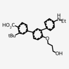 CCNc1ccc(-c2cc(-c3ccc(C(=O)O)c(C(C)(C)C)c3)ccc2OCCCO)cc1